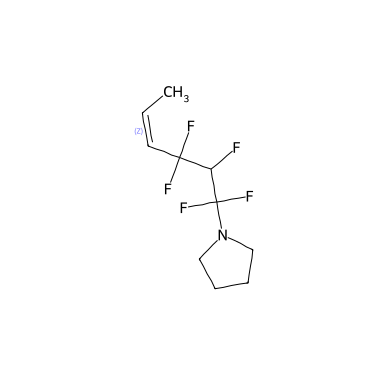 C/C=C\C(F)(F)C(F)C(F)(F)N1CCCC1